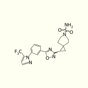 NS(=O)(=O)N1CCC2(CC1)C[C@H]2c1noc(-c2cccc(-n3nccc3C(F)(F)F)c2)n1